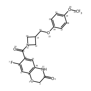 O=C1COc2cc(F)c(C(=O)N3CC(COc4ccc(OC(F)(F)F)cc4)C3)cc2N1